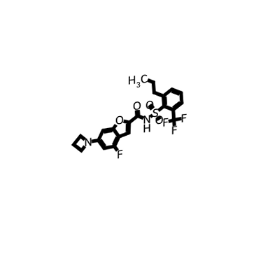 CCCc1cccc(C(F)(F)F)c1S(=O)(=O)NC(=O)c1cc2c(F)cc(N3CCC3)cc2o1